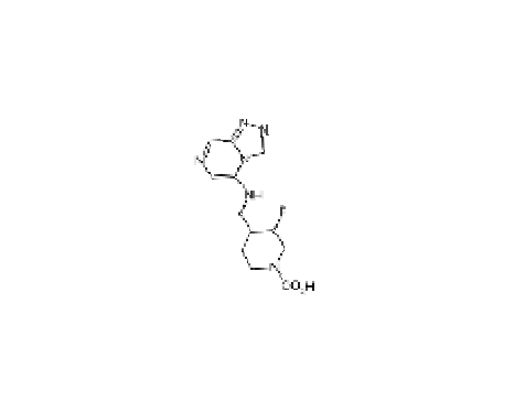 O=C(O)N1CCC(CNc2cncc3nncn23)C(F)C1